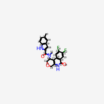 Cc1ccc2[nH]c(C(=O)N(C)[C@@H]3COCc4[nH]c(=O)c5cc(F)c(F)cc5c43)cc2c1